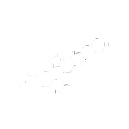 CCCC(C(=O)O)[C@H](Cc1cnc(OC2CCNCC2)nc1)c1nnnn1COCC[Si](C)(C)C